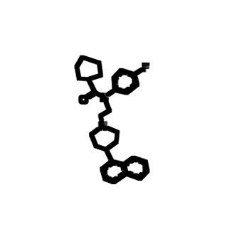 O=C(C1CCCCC1)N(CCN1CCC(c2cccc3ccccc23)CC1)c1ccc(F)cc1